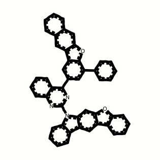 c1ccc(-c2cc(-c3nc(-n4c5ccccc5c5cc6c(cc54)oc4ccccc46)nc4ccccc34)cc3c2oc2cc4ccccc4cc23)cc1